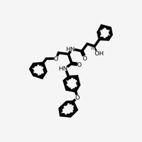 O=C(C[C@H](O)c1ccccc1)NC(COCc1ccccc1)C(=O)Nc1ccc(Oc2ccccc2)cc1